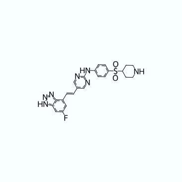 O=S(=O)(c1ccc(Nc2ncc(C=Cc3cc(F)cc4[nH]nnc34)cn2)cc1)C1CCNCC1